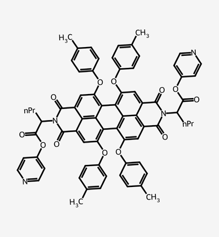 CCCC(C(=O)Oc1ccncc1)N1C(=O)c2cc(Oc3ccc(C)cc3)c3c4c(Oc5ccc(C)cc5)cc5c6c(cc(Oc7ccc(C)cc7)c(c7c(Oc8ccc(C)cc8)cc(c2c37)C1=O)c64)C(=O)N(C(CCC)C(=O)Oc1ccncc1)C5=O